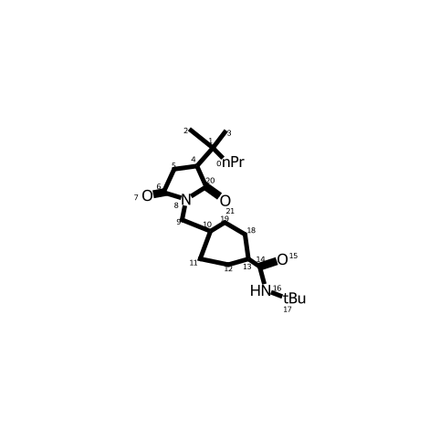 CCCC(C)(C)C1CC(=O)N(CC2CCC(C(=O)NC(C)(C)C)CC2)C1=O